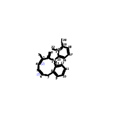 C=C1/C(C)=C\C=C/Cc2ccccc2N1c1cccc(I)[n+]1C